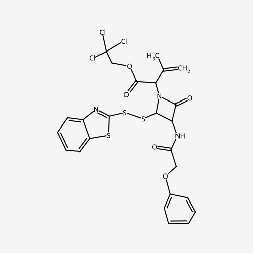 C=C(C)C(C(=O)OCC(Cl)(Cl)Cl)N1C(=O)C(NC(=O)COc2ccccc2)C1SSc1nc2ccccc2s1